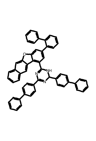 c1ccc(-c2ccc(C3=NC(c4ccc(-c5ccccc5)cc4)NC(c4cc(-c5ccccc5-c5ccccc5)cc5oc6cc7ccccc7cc6c45)=N3)cc2)cc1